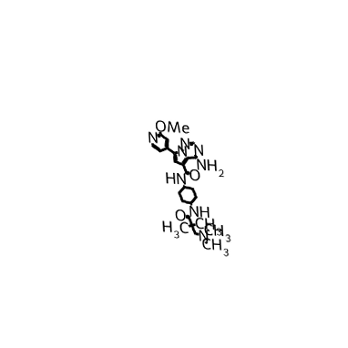 COc1cc(-c2cc(C(=O)N[C@H]3CC[C@H](NC(=O)C(C)(C)CN(C)C)CC3)c3c(N)ncnn23)ccn1